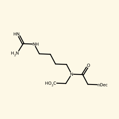 CCCCCCCCCCCC(=O)N(CCCCNC(=N)N)CC(=O)O